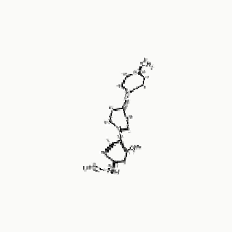 COc1cc(NC=O)ccc1N1CCC(N2CCN(C)CC2)CC1